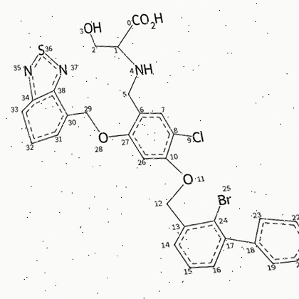 O=C(O)C(CO)NCc1cc(Cl)c(OCc2cccc(-c3ccccc3)c2Br)cc1OCc1cccc2nsnc12